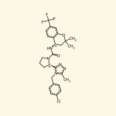 Cc1nnc([C@H]2CCCN2C(=O)N[C@@H]2CC(C)(C)Oc3cc(C(F)(F)F)ccc32)n1Cc1ccc(Cl)cc1